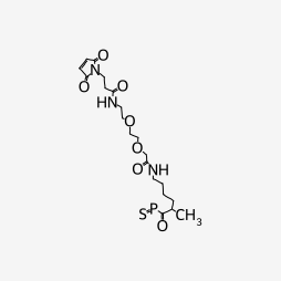 CC(CCCCNC(=O)COCCOCCNC(=O)CCN1C(=O)C=CC1=O)C(=O)P=S